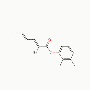 C/C=C/C=C(\CC)C(=O)Oc1cccc(C)c1C